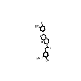 COc1cc(CC(=O)N2CCN3C[C@@H](c4ccc(F)c(C#N)c4)OC[C@@H]3C2)ccc1C#N